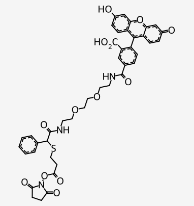 O=C(CCSC(C(=O)NCCOCCOCCNC(=O)c1ccc(-c2c3ccc(=O)cc-3oc3cc(O)ccc23)c(C(=O)O)c1)c1ccccc1)ON1C(=O)CCC1=O